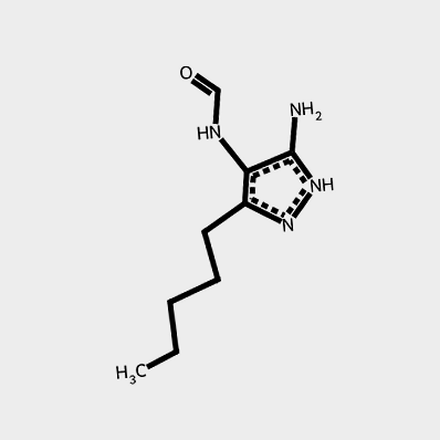 CCCCCc1n[nH]c(N)c1NC=O